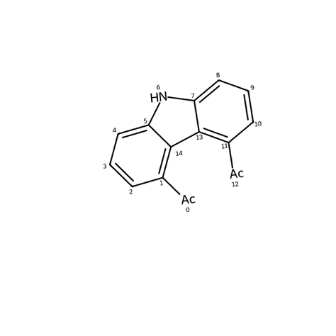 CC(=O)c1cccc2[nH]c3cccc(C(C)=O)c3c12